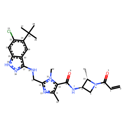 C=CC(=O)N1C[C@@H](NC(=O)c2c(C)nc(CNc3n[nH]c4cc(Cl)c(C(C)(C)C)cc34)n2C)[C@@H]1C